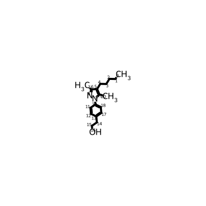 CCCCCc1c(C)nn(-c2ccc(CCO)cc2)c1C